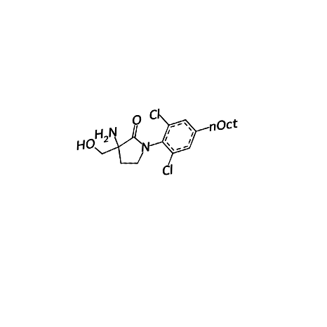 CCCCCCCCc1cc(Cl)c(N2CCC(N)(CO)C2=O)c(Cl)c1